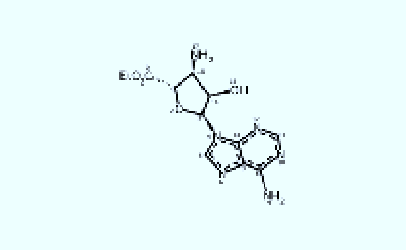 CCOC(=O)[C@H]1O[C@H](n2cnc3c(N)ncnc32)[C@H](O)[C@@H]1N